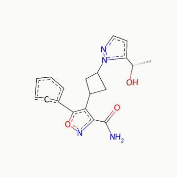 C[C@H](O)c1ccnn1C1CC(c2c(C(N)=O)noc2-c2ccccc2)C1